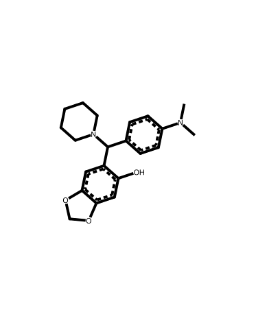 CN(C)c1ccc(C(c2cc3c(cc2O)OCO3)N2CCCCC2)cc1